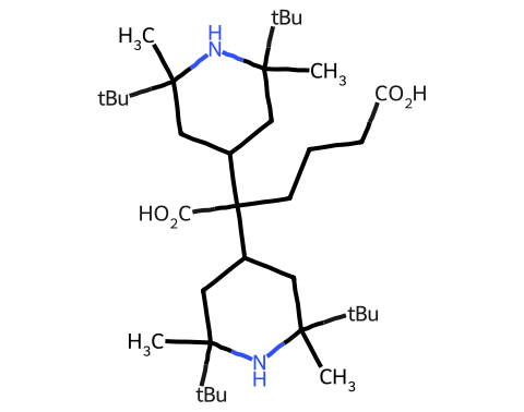 CC(C)(C)C1(C)CC(C(CCCC(=O)O)(C(=O)O)C2CC(C)(C(C)(C)C)NC(C)(C(C)(C)C)C2)CC(C)(C(C)(C)C)N1